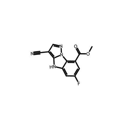 COC(=O)c1cc(F)cc2[nH]c3c(C#N)cnn3c12